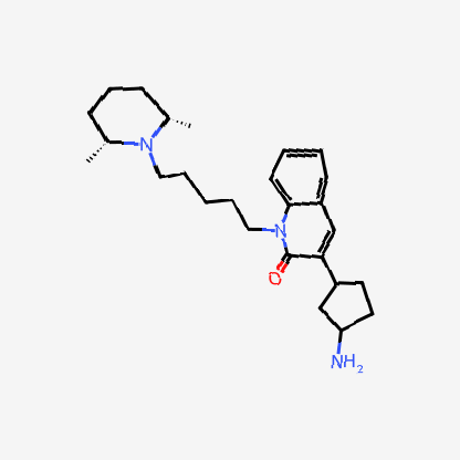 C[C@@H]1CCC[C@H](C)N1CCCCCn1c(=O)c(C2CCC(N)C2)cc2ccccc21